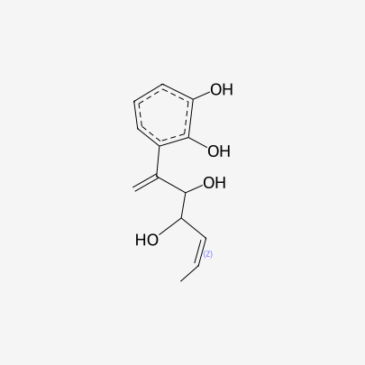 C=C(c1cccc(O)c1O)C(O)C(O)/C=C\C